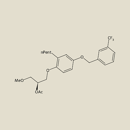 CCCCCc1cc(OCc2cccc(C(F)(F)F)c2)ccc1OC[C@H](COC)OC(C)=O